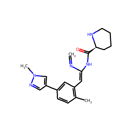 C=N/C(=C\c1cc(-c2cnn(C)c2)ccc1C)NC(=O)[C@@H]1CCCCN1